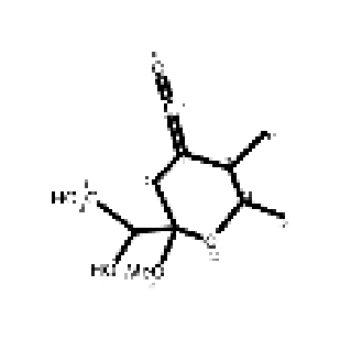 COC1(C(O)C(=O)O)CC(=C=O)C(C)C(C)O1